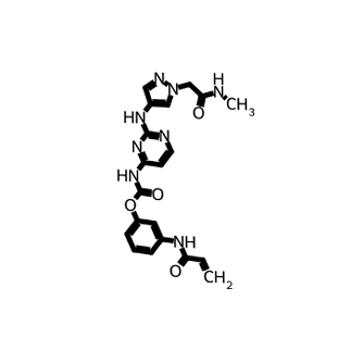 C=CC(=O)Nc1cccc(OC(=O)Nc2ccnc(Nc3cnn(CC(=O)NC)c3)n2)c1